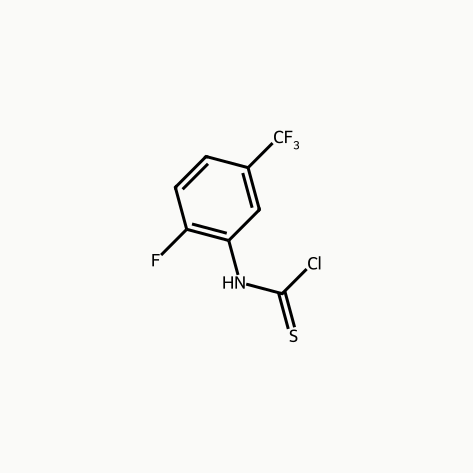 Fc1ccc(C(F)(F)F)cc1NC(=S)Cl